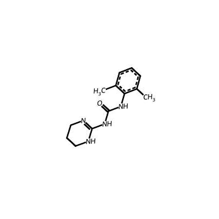 Cc1cccc(C)c1NC(=O)NC1=NCCCN1